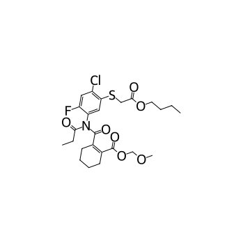 CCCCOC(=O)CSc1cc(N(C(=O)CC)C(=O)C2=C(C(=O)OCOC)CCCC2)c(F)cc1Cl